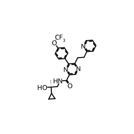 C[C@](O)(CNC(=O)c1cnc(CCc2ccccn2)c(-c2ccc(OC(F)(F)F)cc2)n1)C1CC1